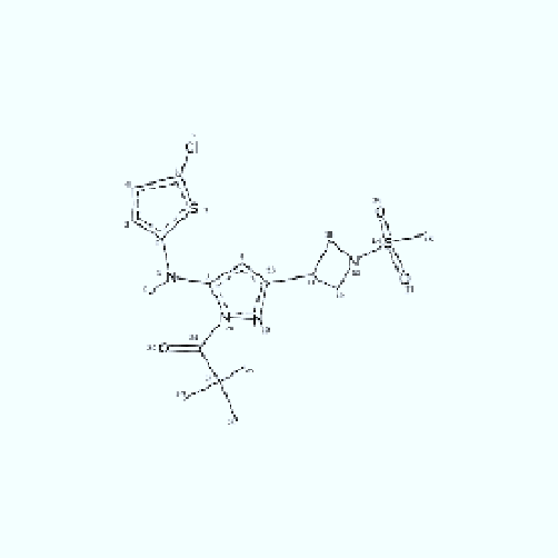 CN(c1ccc(Cl)s1)c1cc(C2CN(S(C)(=O)=O)C2)nn1C(=O)C(C)(C)C